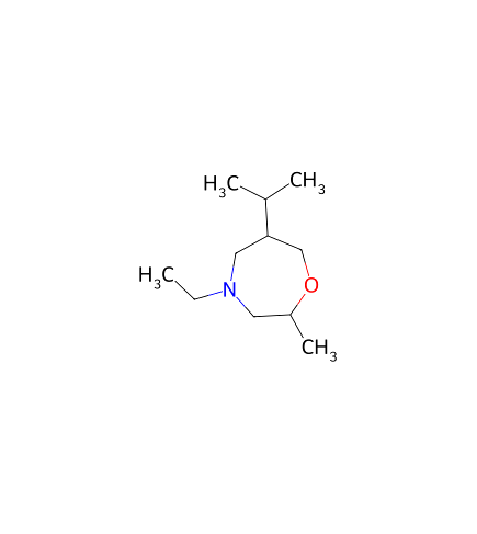 CCN1CC(C)OCC(C(C)C)C1